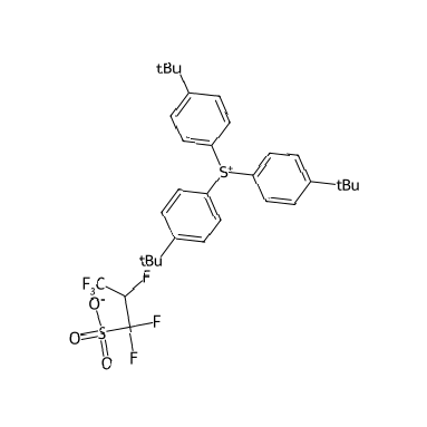 CC(C)(C)c1ccc([S+](c2ccc(C(C)(C)C)cc2)c2ccc(C(C)(C)C)cc2)cc1.O=S(=O)([O-])C(F)(F)C(F)C(F)(F)F